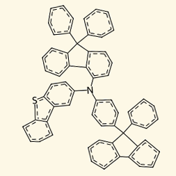 c1ccc(C2(c3ccc(N(c4ccc5sc6ccccc6c5c4)c4cccc5c4-c4ccccc4C5(c4ccccc4)c4ccccc4)cc3)c3ccccc3-c3ccccc32)cc1